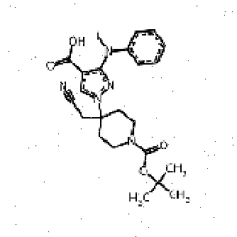 CC(C)(C)OC(=O)N1CCC(CC#N)(n2cc(C(=O)O)c(N(I)c3ccccc3)n2)CC1